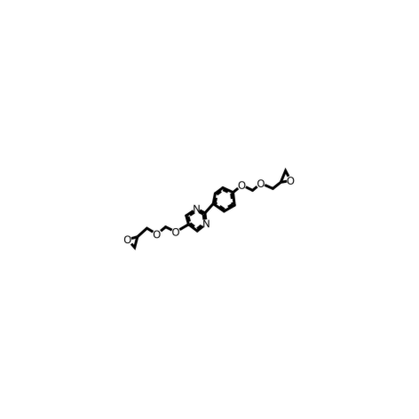 c1cc(-c2ncc(OCOCC3CO3)cn2)ccc1OCOCC1CO1